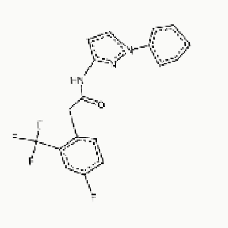 O=C(Cc1ccc(F)cc1C(F)(F)F)Nc1ccn(-c2ccccc2)n1